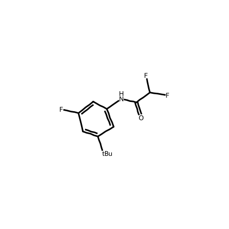 CC(C)(C)c1cc(F)cc(NC(=O)C(F)F)c1